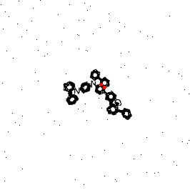 c1ccc(-c2ccccc2N(c2ccc(-c3ccc4oc5c(-c6ccccc6)cccc5c4c3)cc2)c2ccc(-n3c4ccccc4c4ccccc43)cc2)cc1